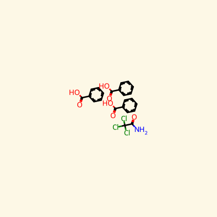 NC(=O)C(Cl)(Cl)Cl.O=C(O)c1ccccc1.O=C(O)c1ccccc1.O=C(O)c1ccccc1